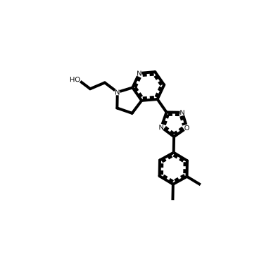 Cc1ccc(-c2nc(-c3ccnc4c3CCN4CCO)no2)cc1C